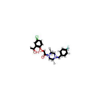 CC(O)c1cc(Cl)ccc1OCC(=O)N1C[C@@H](C)N(Cc2ccc(F)cc2)C[C@@H]1C